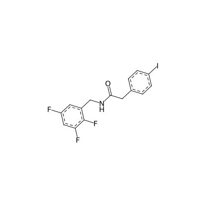 O=C(Cc1ccc(I)cc1)NCc1cc(F)cc(F)c1F